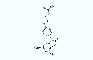 CCCC(=O)OCCOc1ccc(C2C(=O)Oc3c2cc(C(C)(C)C)cc3C(C)(C)C)cc1